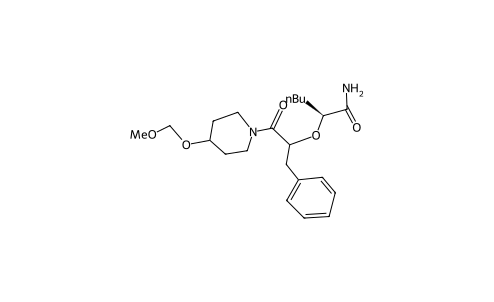 CCCC[C@H](OC(Cc1ccccc1)C(=O)N1CCC(OCOC)CC1)C(N)=O